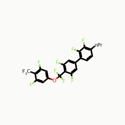 CCCc1ccc(-c2cc(F)c(C(F)(F)Oc3cc(F)c(C(F)(F)F)c(F)c3)c(F)c2)c(F)c1F